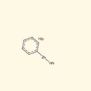 Br.CC[CH2][Zn][c]1ccccc1